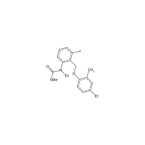 CCc1ccc(OCc2c(I)cccc2N(CC)C(=O)SC)c(C)c1